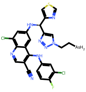 N#Cc1cnc2c(Cl)cc(N[C@@H](c3cscn3)c3cn(CC[AsH2])nn3)cc2c1Nc1ccc(F)c(Cl)c1